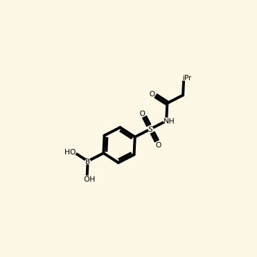 CC(C)CC(=O)NS(=O)(=O)c1ccc(B(O)O)cc1